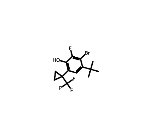 CC(C)(C)c1cc(C2(C(F)(F)F)CC2)c(O)c(F)c1Br